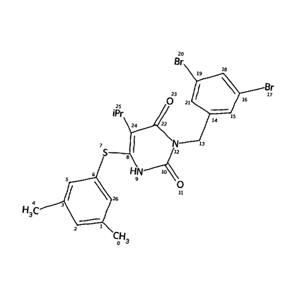 Cc1cc(C)cc(Sc2[nH]c(=O)n(Cc3cc(Br)cc(Br)c3)c(=O)c2C(C)C)c1